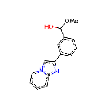 COC(O)c1cccc(-c2cn3ccccc3n2)c1